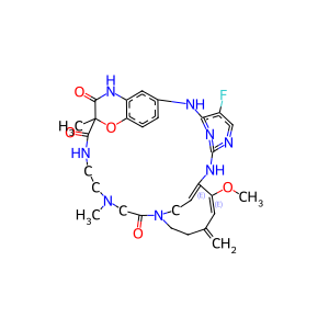 C=C1/C=C(OC)\C2=C/CN(CC1)C(=O)CN(C)CCNC(=O)C1(C)Oc3ccc(cc3NC1=O)Nc1nc(ncc1F)N2